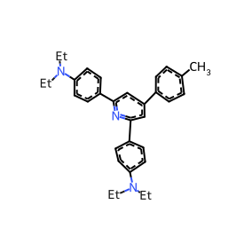 CCN(CC)c1ccc(-c2cc(-c3ccc(C)cc3)cc(-c3ccc(N(CC)CC)cc3)n2)cc1